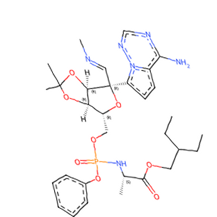 CCC(CC)COC(=O)[C@H](C)NP(=O)(OC[C@H]1O[C@@](C=NC)(c2ccc3c(N)ncnn23)[C@@H]2OC(C)(C)O[C@@H]21)Oc1ccccc1